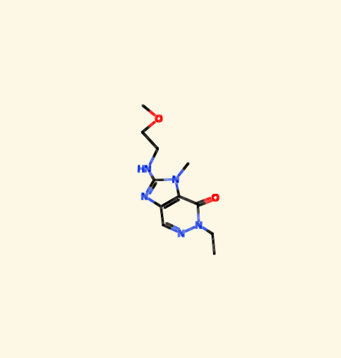 CCn1ncc2nc(NCCOC)n(C)c2c1=O